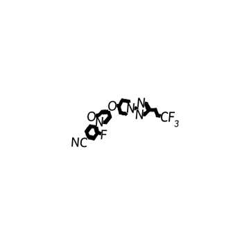 N#Cc1ccc(-n2ccc(OC3CCN(c4ncc(CCC(F)(F)F)cn4)CC3)cc2=O)c(F)c1